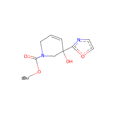 CC(C)(C)OC(=O)N1CC=CC(O)(c2ncco2)C1